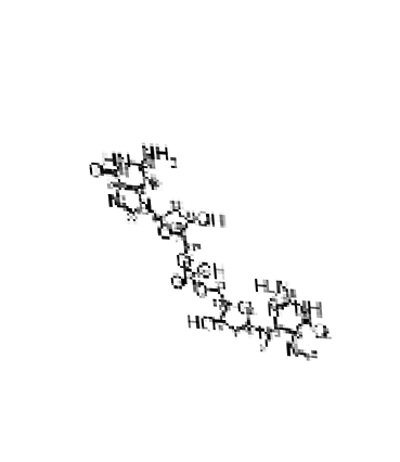 C=Nc1c(N(C)[C@H]2CC(O)[C@@H](COP(=O)(O)OC[C@H]3O[C@@H](n4cnc5c(=O)[nH]c(N)nc54)CC3O)O2)nc(N)[nH]c1=O